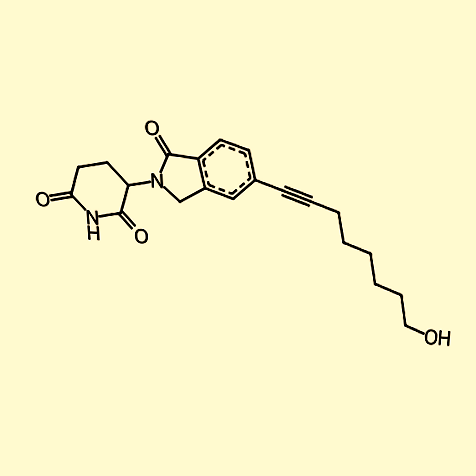 O=C1CCC(N2Cc3cc(C#CCCCCCCO)ccc3C2=O)C(=O)N1